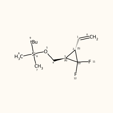 C=C[C@H]1[C@H](CO[Si](C)(C)C(C)(C)C)C1(F)F